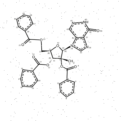 C[C@@]1(OC(=O)c2ccccc2)[C@H](OC(=O)c2ccccc2)[C@@H](COC(=O)c2ccccc2)O[C@H]1n1cnc2c(=O)[nH]ncc21